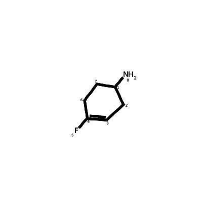 NC1CC=C(F)CC1